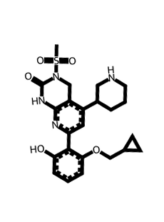 CS(=O)(=O)N1Cc2c(C3CCCNC3)cc(-c3c(O)cccc3OCC3CC3)nc2NC1=O